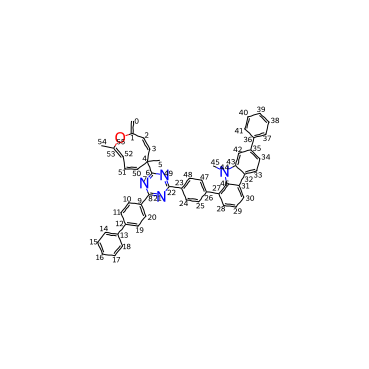 C=C1/C=C\C(C)(c2nc(-c3ccc(-c4ccccc4)cc3)nc(-c3ccc(-c4cccc5c6ccc(-c7ccccc7)cc6n(C)c45)cc3)n2)/C=C\C=C(/C)O1